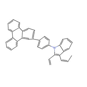 C=Cc1c(/C=C\C)c2ccccc2n1-c1ccc(-c2ccc3c4ccccc4c4ccccc4c3c2)cc1